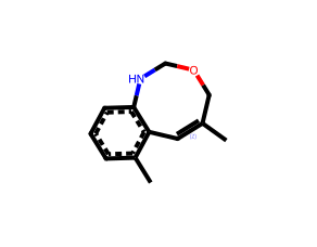 C/C1=C/c2c(C)cccc2NCOC1